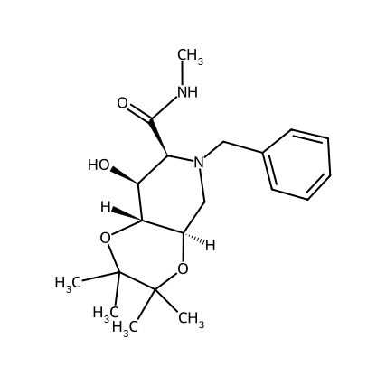 CNC(=O)[C@@H]1[C@H](O)[C@H]2OC(C)(C)C(C)(C)O[C@@H]2CN1Cc1ccccc1